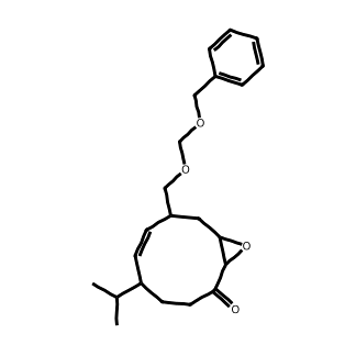 CC(C)C1/C=C\C(COCOCc2ccccc2)CC2OC2C(=O)CC1